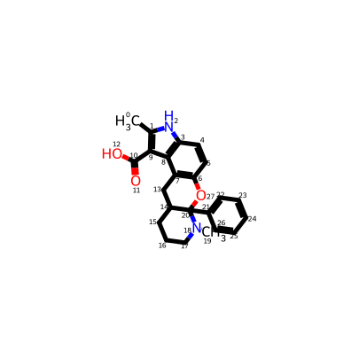 Cc1[nH]c2ccc3c(c2c1C(=O)O)CC1CCCN(C)C1(c1ccccc1)O3